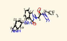 O=C(CN1Cc2cccc(Nc3ccc4cn[nH]c4c3)c2C1=O)NCC(F)(F)F